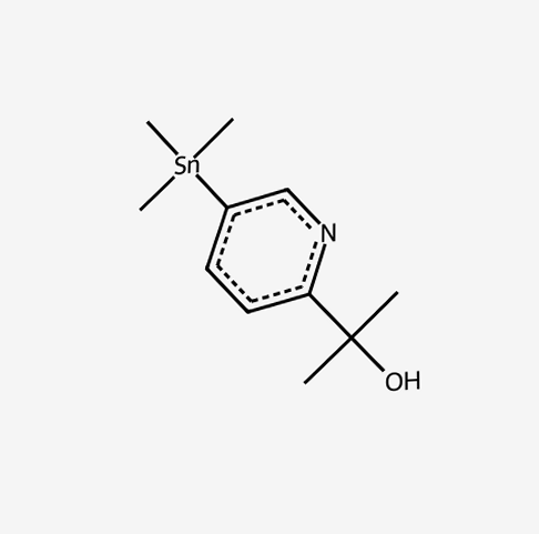 CC(C)(O)c1cc[c]([Sn]([CH3])([CH3])[CH3])cn1